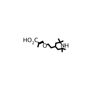 CC(=COCCC1CC(C)(C)NC(C)(C)C1)C(=O)O